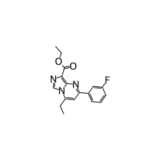 CCOC(=O)c1ncn2c(CC)cc(-c3cccc(F)c3)nc12